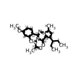 CCC(CC)c1cc(C)n2nc(-c3ccc(OC)cc3Cl)n(OC(C)=O)c(=O)c12